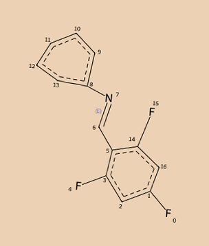 Fc1cc(F)c(/C=N/c2ccccc2)c(F)c1